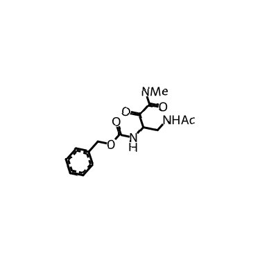 CNC(=O)C(=O)C(CNC(C)=O)NC(=O)OCc1ccccc1